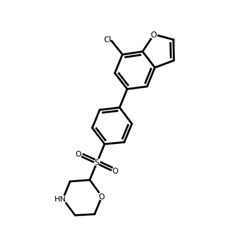 O=S(=O)(c1ccc(-c2cc(Cl)c3occc3c2)cc1)C1CNCCO1